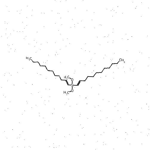 CCCCCCCCCCC=C[Si](C=CCCCCCCCCCC)(OC)OC